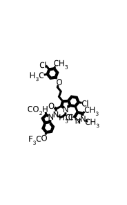 Cc1cc(OCCCc2c3n(c4c(-c5c(C)nn(C)c5C)c(Cl)ccc24)[C@H](C)CN(n2c(C(=O)O)cc4cc(OC(F)(F)F)ccc42)C3=O)cc(C)c1Cl